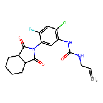 C=CCNC(=O)Nc1cc(N2C(=O)C3CCCCC3C2=O)c(F)cc1Cl